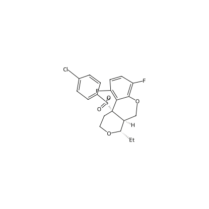 CC[C@@H]1OCC[C@@]2(S(=O)(=O)c3ccc(Cl)cc3)c3c(F)ccc(F)c3OC[C@@H]12